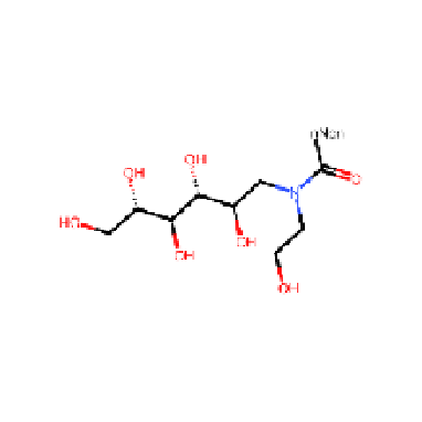 CCCCCCCCCC(=O)N(CCO)C[C@@H](O)[C@@H](O)[C@@H](O)[C@@H](O)CO